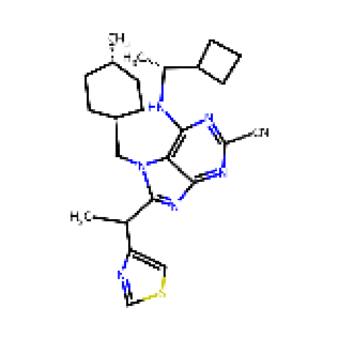 CC(c1cscn1)c1nc2nc(C#N)nc(N[C@H](C)C3CCC3)c2n1C[C@H]1CC[C@H](C)CC1